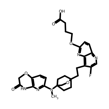 CN(c1ccc2c(n1)NC(=O)CO2)C12CCC(CCc3c(F)cnc4ccc(OCCCC(=O)O)nc34)(CC1)OC2